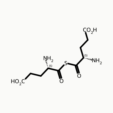 N[C@@H](CCC(=O)O)C(=O)SC(=O)[C@@H](N)CCC(=O)O